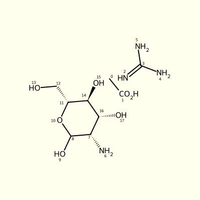 CC(=O)O.N=C(N)N.N[C@@H]1C(O)O[C@H](CO)[C@@H](O)[C@@H]1O